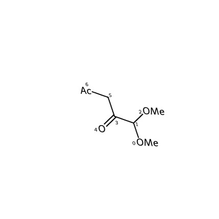 COC(OC)C(=O)CC(C)=O